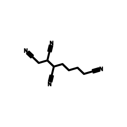 N#CCCCCC(C#N)C(C#N)CC#N